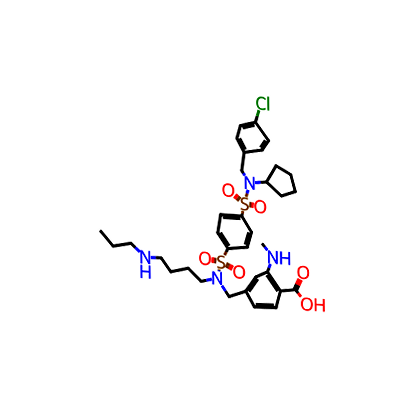 CCCNCCCCN(Cc1ccc(C(=O)O)c(NC)c1)S(=O)(=O)c1ccc(S(=O)(=O)N(Cc2ccc(Cl)cc2)C2CCCC2)cc1